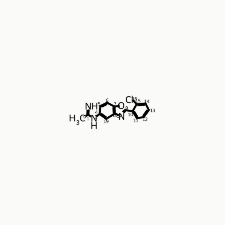 CC(=N)Nc1ccc2oc(-c3ccccc3Cl)nc2c1